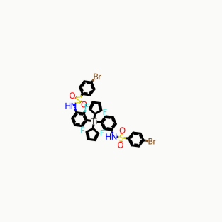 O=S(=O)(Nc1ccc(F)[c]([Ti]([c]2c(F)ccc(NS(=O)(=O)c3ccc(Br)cc3)c2F)([CH]2C=CC=C2)[CH]2C=CC=C2)c1F)c1ccc(Br)cc1